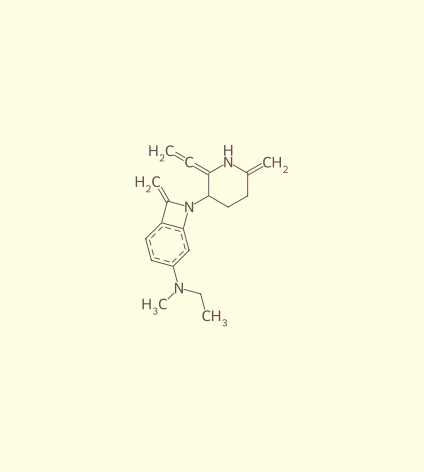 C=C=C1NC(=C)CCC1N1C(=C)c2ccc(N(C)CC)cc21